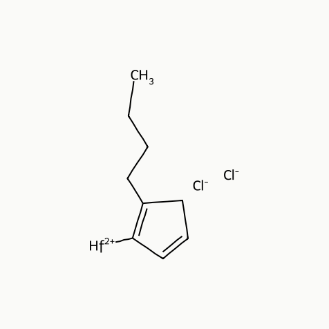 CCCCC1=[C]([Hf+2])C=CC1.[Cl-].[Cl-]